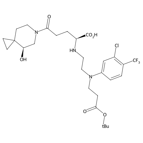 CC(C)(C)OC(=O)CCN(CCN[C@@H](CCC(=O)N1CCC2(CC2)[C@H](O)C1)C(=O)O)c1ccc(C(F)(F)F)c(Cl)c1